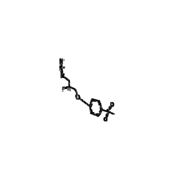 CS(=O)(=O)c1ccc(OC[C@@H](F)CN=[N+]=[N-])cc1